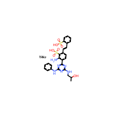 CC(O)CNc1nc(Nc2ccccc2)nc(-c2ccc(C=Cc3ccccc3S(=O)(=O)O)c(S(=O)(=O)O)c2N)n1.[Na].[Na]